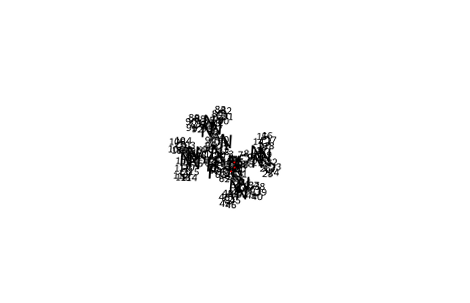 N#Cc1cc(-n2c3ccc(-c4nc(-c5ccccc5)nc(-c5ccccc5)n4)cc3c3cc(-c4nc(-c5ccccc5)nc(-c5ccccc5)n4)ccc32)c(-c2c(C(F)(F)F)cccc2C(F)(F)F)cc1-n1c2ccc(-c3nc(-c4ccccc4)nc(-c4ccccc4)n3)cc2c2cc(-c3nc(-c4ccccc4)nc(-c4ccccc4)n3)ccc21